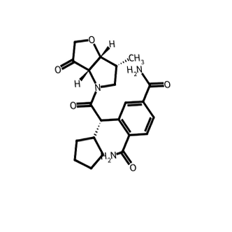 C[C@@H]1CN(C(=O)[C@H](c2cc(C(N)=O)ccc2C(N)=O)C2CCCC2)[C@@H]2C(=O)CO[C@H]12